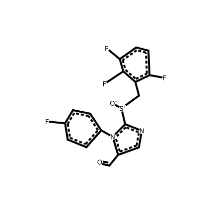 O=Cc1cnc([S+]([O-])Cc2c(F)ccc(F)c2F)n1-c1ccc(F)cc1